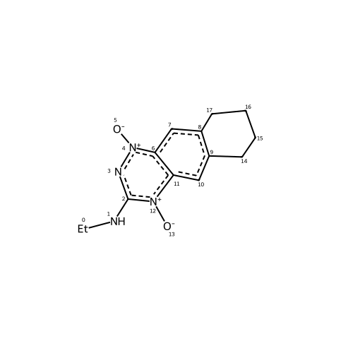 CCNc1n[n+]([O-])c2cc3c(cc2[n+]1[O-])CCCC3